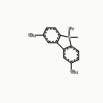 CC(C)S1(C)c2ccc(C(C)(C)C)cc2-c2cc(C(C)(C)C)ccc21